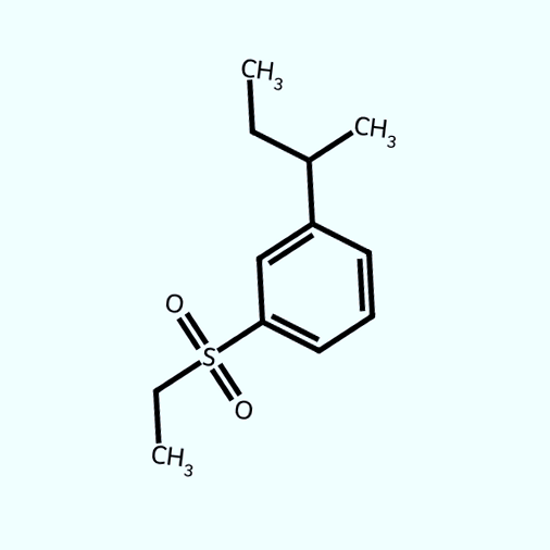 CCC(C)c1cccc(S(=O)(=O)CC)c1